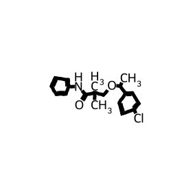 CC(OCC(C)(C)C(=O)Nc1ccccc1)c1ccc(Cl)cc1